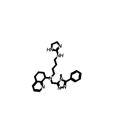 Cn1c(CN(CCCCNC2=NCCN2)C2CCCc3cccnc32)nnc1-c1ccccc1